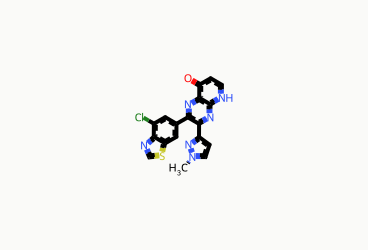 Cn1ccc(-c2nc3[nH]ccc(=O)c3nc2-c2cc(Cl)c3ncsc3c2)n1